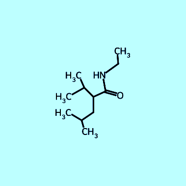 CCNC(=O)C(CC(C)C)C(C)C